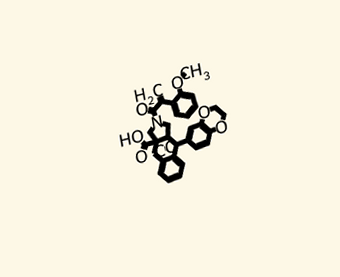 C=C(C(=O)N1CC2C3(c4ccc5c(c4)OCCO5)CCC(c4ccccc43)C2(C(=O)O)C1)c1ccccc1OC